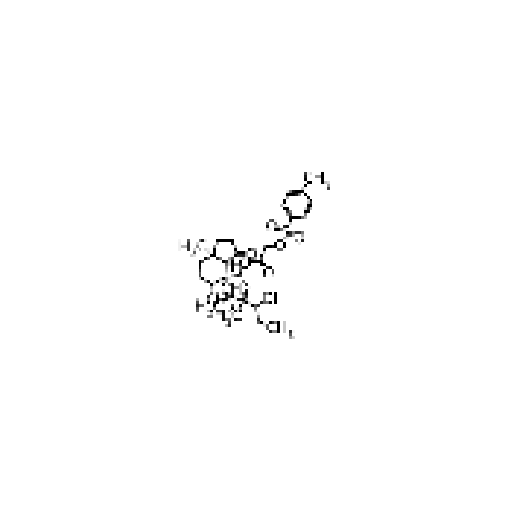 C=CC(C)(C[C@@H](OC(=O)COS(=O)(=O)c1ccc(C)cc1)[C@]1(C)[C@H](C)CC[C@@]2(C)CCC(=O)[C@H]21)[C@@H](O)CC